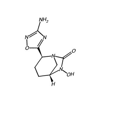 Nc1noc([C@@H]2CC[C@@H]3CN2C(=O)N3O)n1